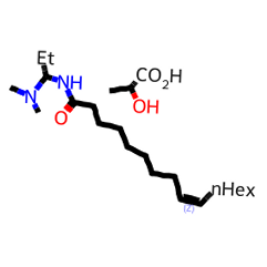 CC(O)C(=O)O.CCCCCC/C=C\CCCCCCCC(=O)NC(CC)N(C)C